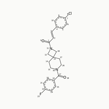 O=C(C=Cc1ccc(Cl)cc1)N1CC2(CCN(C(=O)c3ccc(F)cc3)CC2)C1